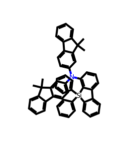 CC1(C)c2ccccc2-c2ccc(N(c3ccc4c(c3)C(C)(C)c3ccccc3-4)c3cccc4c3[Si](c3ccccc3)(c3ccccc3)c3ccccc3-4)cc21